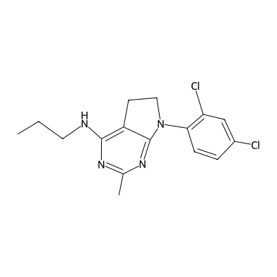 CCCNc1nc(C)nc2c1CCN2c1ccc(Cl)cc1Cl